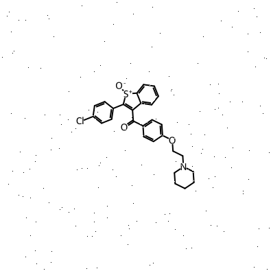 O=C(c1ccc(OCCN2CCCCC2)cc1)c1c(-c2ccc(Cl)cc2)[s+]([O-])c2ccccc12